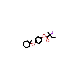 CCC(C)(I)C(=O)Oc1ccc(OC2(C)CCCCC2)cc1